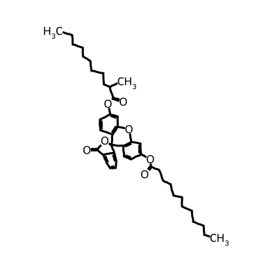 CCCCCCCCCCCC(=O)Oc1ccc2c(c1)Oc1cc(OC(=O)C(C)CCCCCCCCC)ccc1C21OC(=O)c2ccccc21